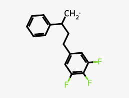 [CH2]C(CCc1cc(F)c(F)c(F)c1)c1ccccc1